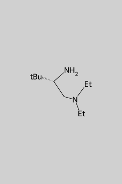 CCN(CC)C[C@@H](N)C(C)(C)C